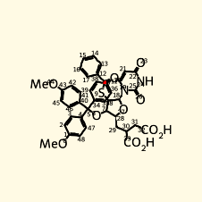 COc1ccc(C(OC2C(SC(=O)c3ccccc3)[C@@H](n3ccc(=O)[nH]c3=O)O[C@H]2CC(CC(=O)O)C(=O)O)(c2ccccc2)c2ccc(OC)cc2)cc1